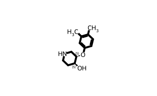 Cc1ccc(O[C@H]2CNCC[C@@H]2O)cc1C